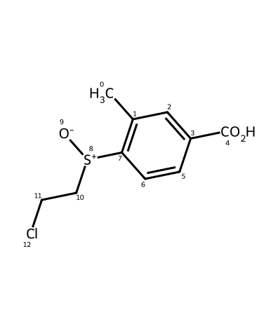 Cc1cc(C(=O)O)ccc1[S+]([O-])CCCl